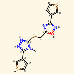 Cn1c(SCc2nc(-c3ccsc3)no2)nnc1-c1ccsc1